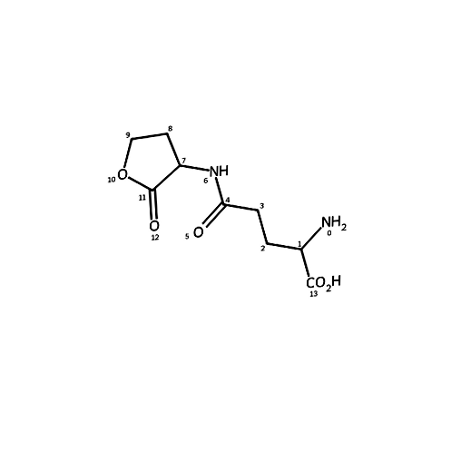 NC(CCC(=O)NC1CCOC1=O)C(=O)O